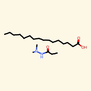 CCC(=O)NN(C)C.CCCCCCCCCCCCCCCC(=O)O